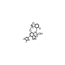 Cc1nc(-c2cc3c(n4cnnc24)N(C(=O)O)Cc2c(F)ccc4c2[C@@H](CO4)CO3)cn1C